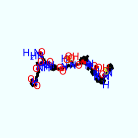 Cc1c(-c2ccc(N3CCc4cccc(C(=O)Nc5nc6ccccc6s5)c4C3)nc2C(=O)O)cnn1CC12CC3(C)CC(C)(C1)CC(OCCN(CCCNC(=O)OCc1ccc(NC(=O)[C@H](CCCNC(N)=O)NC(=O)[C@@H](NC(=O)CCCCCN4C(=O)C=CC4=O)C(C)C)cc1)CCS(=O)(=O)O)(C3)C2